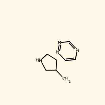 CC1CCNC1.c1cnncn1